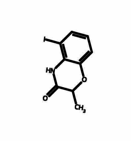 CC1Oc2cccc(I)c2NC1=O